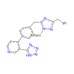 CCCCCn1nc(CC(C)C)nc1Cc1ccc(-c2ccncc2-c2nnn[nH]2)cc1